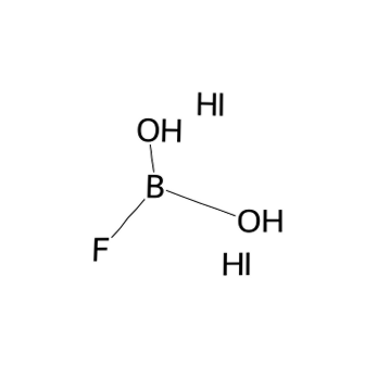 I.I.OB(O)F